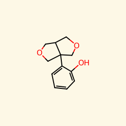 Oc1ccccc1C12COCC1COC2